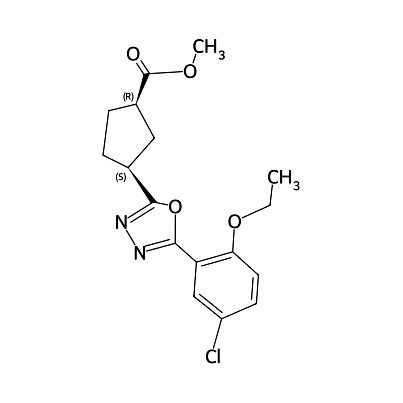 CCOc1ccc(Cl)cc1-c1nnc([C@H]2CC[C@@H](C(=O)OC)C2)o1